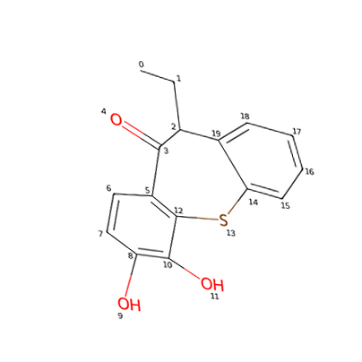 CCC1C(=O)c2ccc(O)c(O)c2Sc2ccccc21